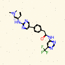 C=C/C(=C\N(C)C)Nc1ncc(-c2ccc(CC(=O)Nc3cc(C(F)(F)F)ncn3)cc2)cn1